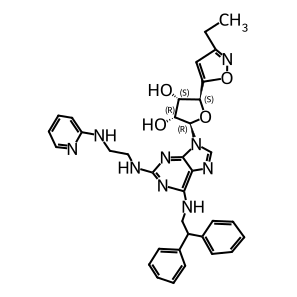 CCc1cc([C@H]2O[C@@H](n3cnc4c(NCC(c5ccccc5)c5ccccc5)nc(NCCNc5ccccn5)nc43)[C@H](O)[C@@H]2O)on1